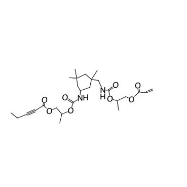 C=CC(=O)OCC(C)OC(=O)NCC1(C)CC(NC(=O)OC(C)COC(=O)C#CCC)CC(C)(C)C1